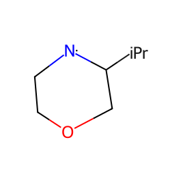 CC(C)C1COCC[N]1